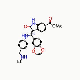 CCNCc1ccc(N/C(=C2\C(=O)Nc3cc(C(=O)OC)ccc32)c2ccc3c(c2)OC=CO3)cc1